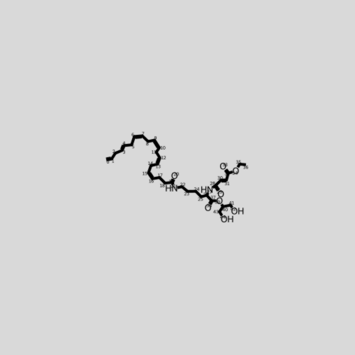 C=CCC=CC/C=C\C/C=C\C/C=C\C/C=C\CCC(=O)NCCCCC(NC(=O)/C=C/C(=O)OCC)C(=O)OC(CO)CO